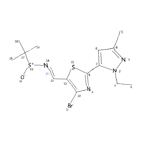 CCn1nc(C)cc1-c1nc(Br)c(/C=N/[S+]([O-])C(C)(C)C)s1